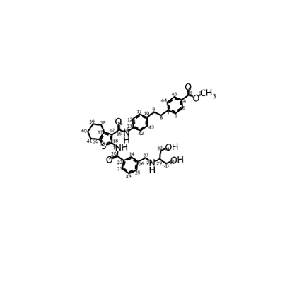 COC(=O)c1ccc(CCc2ccc(NC(=O)c3c(NC(=O)c4cccc(CNC(CO)CO)c4)sc4c3CCCC4)cc2)cc1